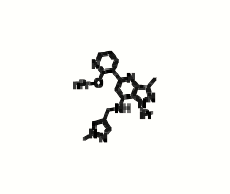 CCCOc1ncccc1-c1cc(NCc2cnn(C)c2)c2c(n1)c(C)nn2C(C)C